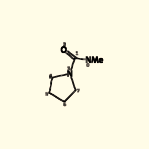 CNC(=O)N1[CH]CCC1